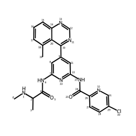 CNC(C)C(=O)Nc1cc(-c2ncnc3cccc(C)c23)cc(NC(=O)c2ccc(Cl)cn2)n1